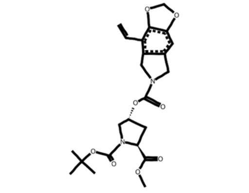 C=Cc1c2c(cc3c1OCO3)CN(C(=O)O[C@@H]1C[C@@H](C(=O)OC)N(C(=O)OC(C)(C)C)C1)C2